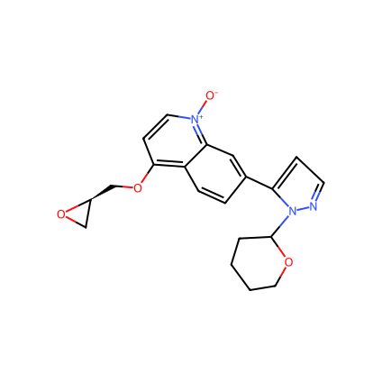 [O-][n+]1ccc(OC[C@H]2CO2)c2ccc(-c3ccnn3C3CCCCO3)cc21